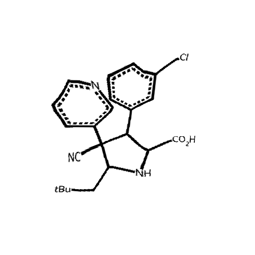 CC(C)(C)CC1NC(C(=O)O)C(c2cccc(Cl)c2)C1(C#N)c1cccnc1